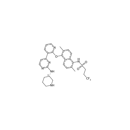 Cc1ccc2c(Oc3ncccc3-c3ccnc(N[C@H]4CCCNC4)n3)c(C)ccc2c1NS(=O)(=O)CCC(F)(F)F